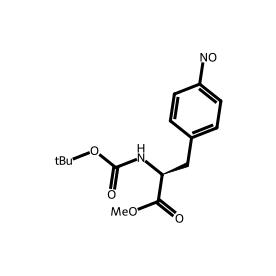 COC(=O)[C@H](Cc1ccc(N=O)cc1)NC(=O)OC(C)(C)C